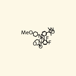 CO[C@H]1CC[C@H](n2c([C@@H]3CCOCC(=O)N3c3ccc(F)c(F)c3)nc3cc(-c4c(C)noc4C)ccc32)CC1